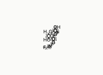 CC1=C(c2cccc(O)c2)C(c2ccc(OCCN3CC(CF)C3)cc2)Oc2c(F)cc(O)cc21